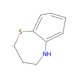 [CH]1CCNc2ccccc2S1